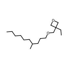 CCCCCCC(C)CCCOCC1(CC)COC1